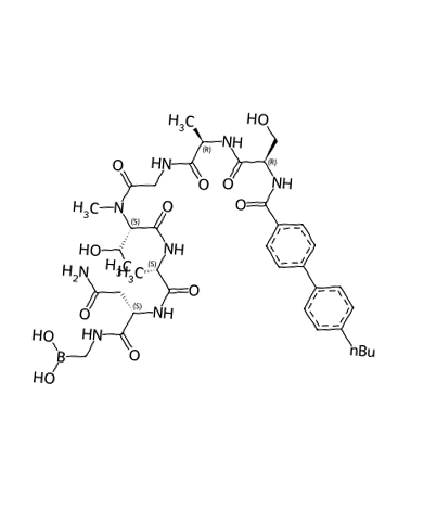 CCCCc1ccc(-c2ccc(C(=O)N[C@H](CO)C(=O)N[C@H](C)C(=O)NCC(=O)N(C)[C@H](C(=O)N[C@@H](C)C(=O)N[C@@H](CC(N)=O)C(=O)NCB(O)O)C(C)O)cc2)cc1